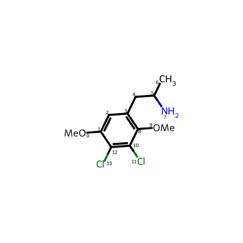 COc1cc(CC(C)N)c(OC)c(Cl)c1Cl